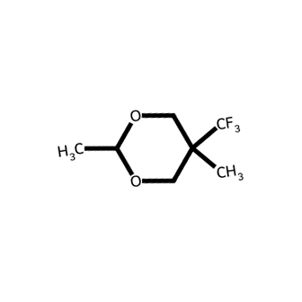 CC1OCC(C)(C(F)(F)F)CO1